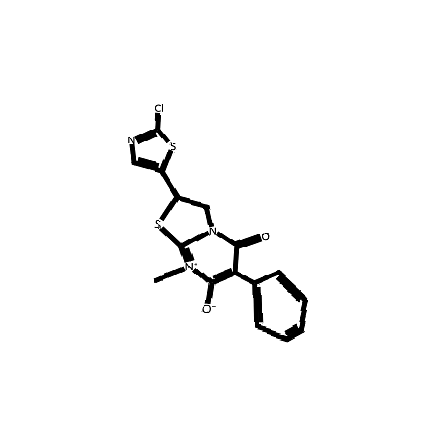 C[n+]1c([O-])c(-c2ccccc2)c(=O)n2c1SC(c1cnc(Cl)s1)C2